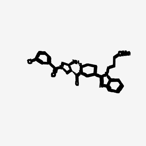 COCCCn1c(C2CCCN(C(=O)[C@@H]3CN(C(=O)c4cccc(Cl)c4)C[C@H]3N)C2)nc2ccccc21